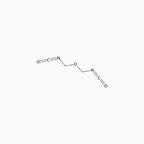 O=C=NCOCN=C=O